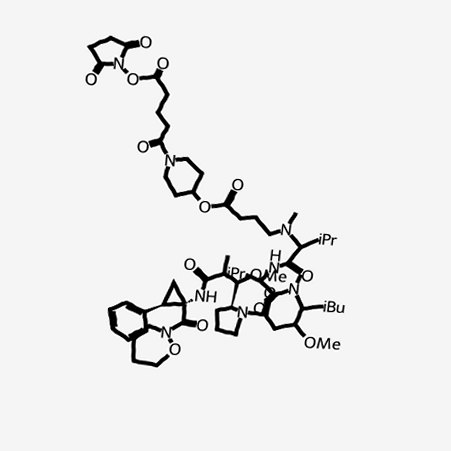 CCC(C)C(C(CC(=O)N1CCC[C@H]1C(OC)C(C)C(=O)N[C@@]1(C(=O)N2CCCCO2)C[C@@H]1c1ccccc1)OC)N(C)C(=O)C(NC(=O)C(C(C)C)N(C)CCCC(=O)OC1CCN(C(=O)CCCC(=O)ON2C(=O)CCC2=O)CC1)C(C)C